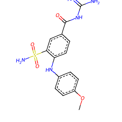 COc1ccc(Nc2ccc(C(=O)NC(=N)N)cc2S(N)(=O)=O)cc1